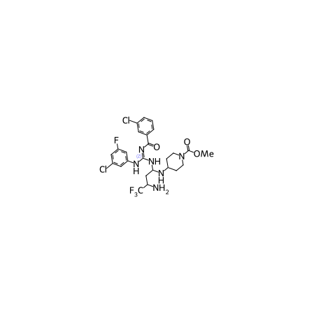 COC(=O)N1CCC(NC(CC(N)C(F)(F)F)N/C(=N\C(=O)c2cccc(Cl)c2)Nc2cc(F)cc(Cl)c2)CC1